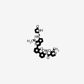 COc1nc(-c2cccc(-c3cccc(NC(=O)c4ccnn(C)c4=O)c3C)c2Cl)cc2c1[C@@H](NC[C@@H]1CCC(=O)N1)CC2